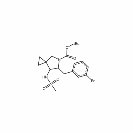 CC(C)(C)OC(=O)N1CC2(CC2)C(NS(C)(=O)=O)C1Cc1cccc(Br)c1